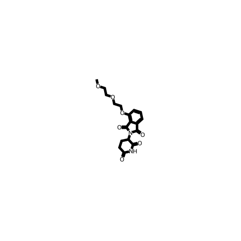 COCCOCCOc1cccc2c1C(=O)N(C1CCC(=O)NC1=O)C2=O